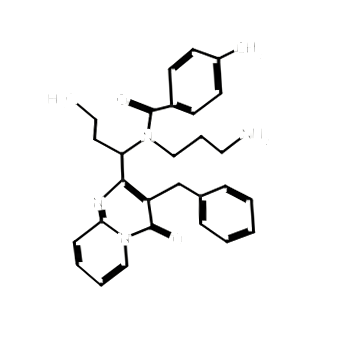 CCCC(c1nc2ccccn2c(=O)c1Cc1ccccc1)N(CCCN)C(=O)c1ccc(C)cc1